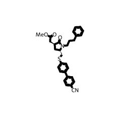 COC(=O)C[C@@H]1C[C@@H](CSc2ccc(-c3ccc(C#N)cc3)cc2)N(CCCc2ccccc2)C1=O